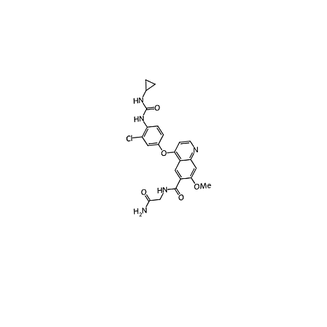 COc1cc2nccc(Oc3ccc(NC(=O)NC4CC4)c(Cl)c3)c2cc1C(=O)NCC(N)=O